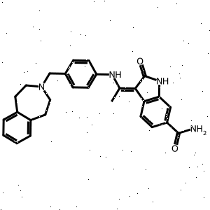 CC(Nc1ccc(CN2CCc3ccccc3CC2)cc1)=C1C(=O)Nc2cc(C(N)=O)ccc21